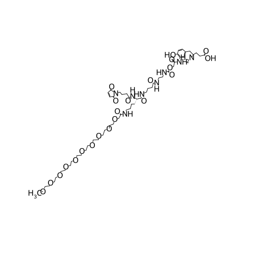 COCCOCCOCCOCCOCCOCCOCCOCCOCCOCC(=O)NCCCC[C@H](NC(=O)CCCN1C(=O)C=CC1=O)C(=O)NCCCC(=O)NCCNC(=O)OCC(=O)Nc1cc(C[C@H](N)CCC(=O)O)ccc1O